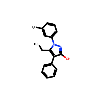 CCc1c(-c2ccccc2)c(O)nn1-c1cccc(C)c1